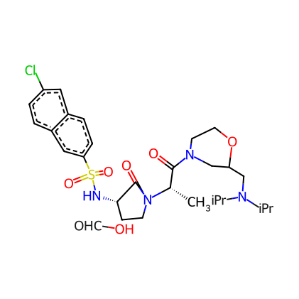 CC(C)N(CC1CN(C(=O)[C@H](C)N2CC[C@H](NS(=O)(=O)c3ccc4cc(Cl)ccc4c3)C2=O)CCO1)C(C)C.O=CO